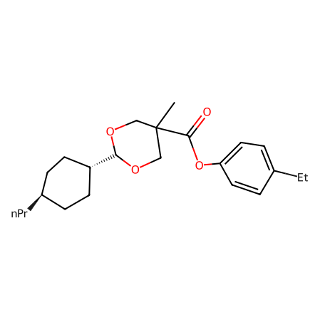 CCC[C@H]1CC[C@H](C2OCC(C)(C(=O)Oc3ccc(CC)cc3)CO2)CC1